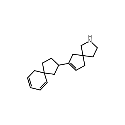 C1=CCC2(C=C1)CCC(C1=CCC3(CCNC3)C1)C2